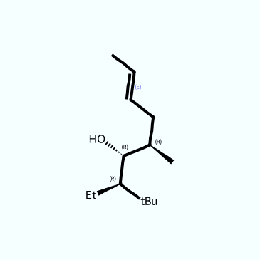 C/C=C/C[C@@H](C)[C@@H](O)[C@H](CC)C(C)(C)C